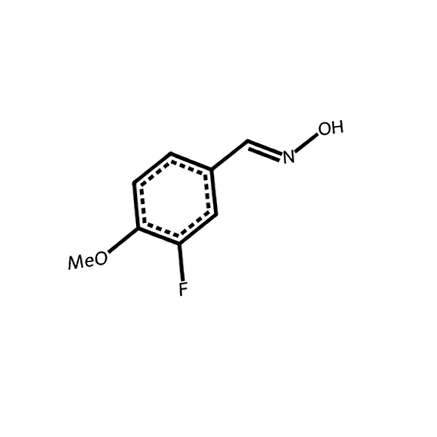 COc1ccc(C=NO)cc1F